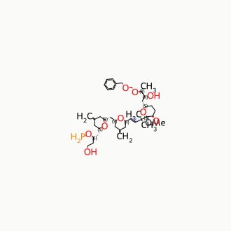 C=C1C[C@H](C[C@@H]2CC(=C)C[C@H](/C=C/C(C)(C)[C@]3(OC)O[C@H](C[C@@H](O)[C@@H](C)OCOCc4ccccc4)CCC3=O)O2)O[C@H](C[C@H](CCO)OP)C1